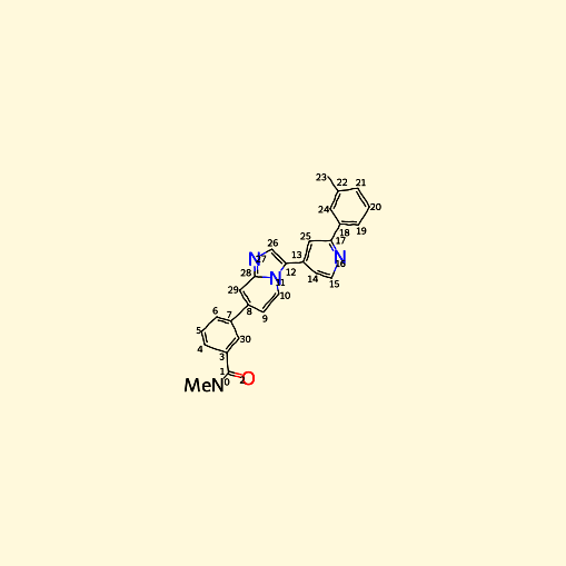 CNC(=O)c1cccc(-c2ccn3c(-c4ccnc(-c5cccc(C)c5)c4)cnc3c2)c1